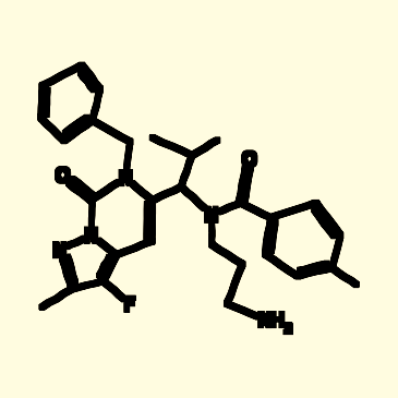 Cc1ccc(C(=O)N(CCCN)C(c2cc3c(F)c(C)nn3c(=O)n2Cc2ccccc2)C(C)C)cc1